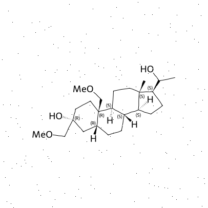 COC[C@@]1(O)CC[C@@]2(COC)[C@H](CC[C@H]3[C@@H]4CC[C@H](C(C)O)[C@@]4(C)CC[C@@H]32)C1